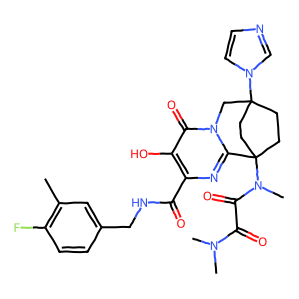 Cc1cc(CNC(=O)c2nc3n(c(=O)c2O)CC2(n4ccnc4)CCC3(N(C)C(=O)C(=O)N(C)C)CC2)ccc1F